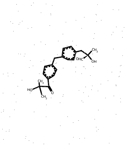 CC(C)(O)C(=O)c1ccc(Cc2ccc(C[C@](C)(O)C=O)cc2)cc1